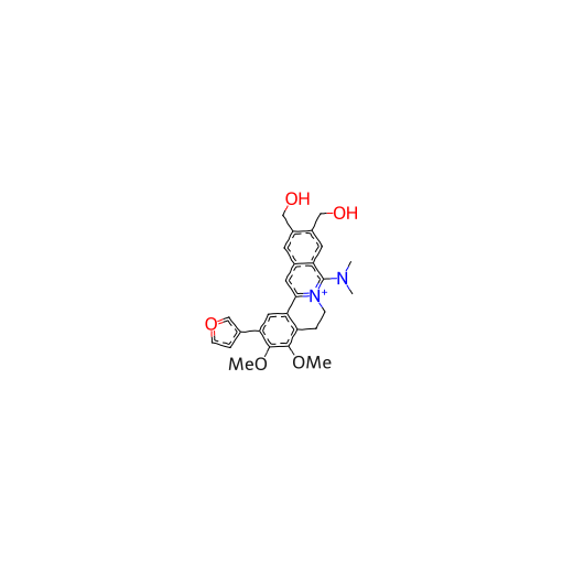 COc1c(-c2ccoc2)cc2c(c1OC)CC[n+]1c-2cc2cc(CO)c(CO)cc2c1N(C)C